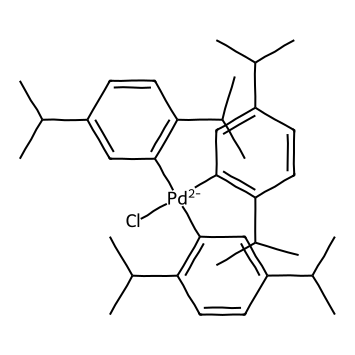 CC(C)c1ccc(C(C)C)[c]([Pd-2]([Cl])([c]2cc(C(C)C)ccc2C(C)C)[c]2cc(C(C)C)ccc2C(C)C)c1